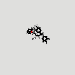 C[C@@H](O)[C@H](O)COC[C@]1(O)C2CC1C[C@@H](S(=O)(=O)c1cc(C(=O)Nc3cc(F)c(F)c(F)c3)ccc1Cl)C2